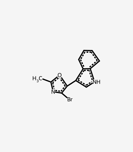 Cc1nc(Br)c(-c2c[nH]c3ccccc23)o1